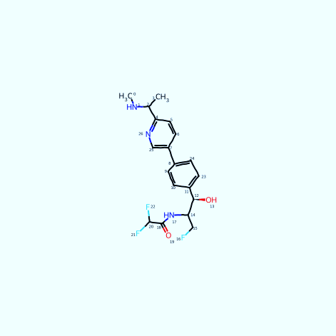 CNC(C)c1ccc(-c2ccc([C@@H](O)C(CF)NC(=O)C(F)F)cc2)cn1